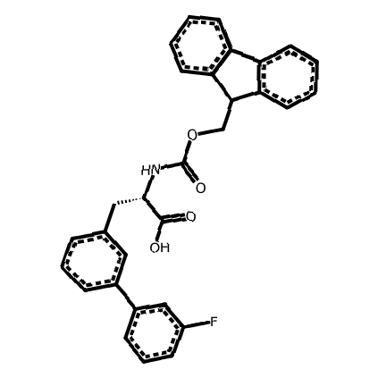 O=C(N[C@@H](Cc1cccc(-c2cccc(F)c2)c1)C(=O)O)OCC1c2ccccc2-c2ccccc21